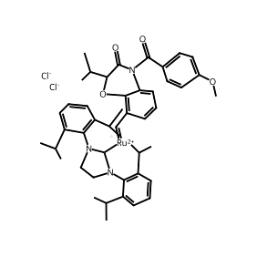 COc1ccc(C(=O)N2C(=O)C(C(C)C)Oc3c(/[CH]=[Ru+2]/[CH]4N(c5c(C(C)C)cccc5C(C)C)CCN4c4c(C(C)C)cccc4C(C)C)cccc32)cc1.[Cl-].[Cl-]